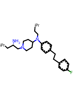 CC(C)CCN(c1ccc(CCc2ccc(F)cc2)cc1)C1CCN(C[C@@H](N)CC(C)C)CC1